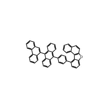 c1ccc2c(c1)cc(-c1c3ccccc3c(-c3ccc(-c4cccc5oc6ccc7ccccc7c6c45)cc3)c3ccccc13)c1ccccc12